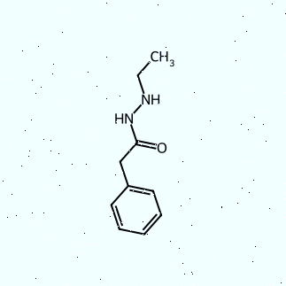 CCNNC(=O)Cc1ccccc1